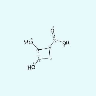 O=C(O)C1CC(O)C1O